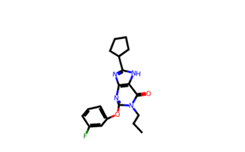 CCCn1c(Oc2cccc(F)c2)nc2nc(C3CCCC3)[nH]c2c1=O